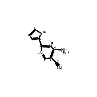 N#Cc1cnc(-c2cccs2)nc1N